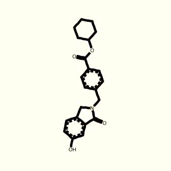 O=C(OC1CCCCC1)c1ccc(CN2Cc3ccc(O)cc3C2=O)cc1